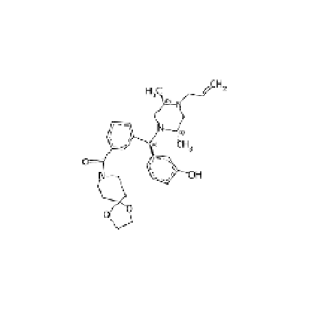 C=CCN1C[C@H](C)N([C@@H](c2cccc(O)c2)c2cccc(C(=O)N3CCC4(CC3)OCCO4)c2)C[C@H]1C